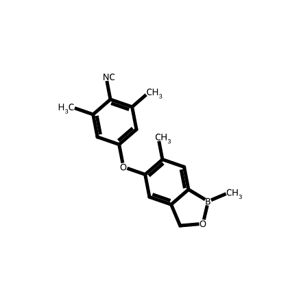 [C-]#[N+]c1c(C)cc(Oc2cc3c(cc2C)B(C)OC3)cc1C